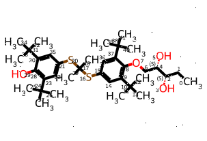 CC[C@H](O)[C@@H](O)COc1c(C(C)(C)C)cc(SC(C)(C)Sc2cc(C(C)(C)C)c(O)c(C(C)(C)C)c2)cc1C(C)(C)C